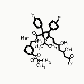 CC(C)n1c(/C=C/[C@@H](O)C[C@@H](O)CC(=O)[O-])c(-c2ccc(F)cc2)c(-c2ccc(F)cc2)c1C(=O)NCc1cccc(S(=O)(=O)N(C)C)c1.[Na+]